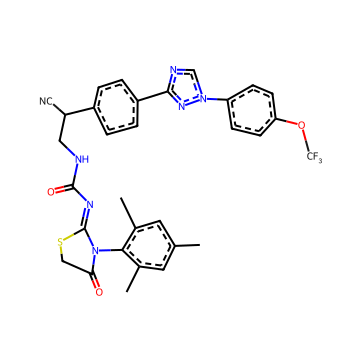 Cc1cc(C)c(N2C(=O)CS/C2=N\C(=O)NCC(C#N)c2ccc(-c3ncn(-c4ccc(OC(F)(F)F)cc4)n3)cc2)c(C)c1